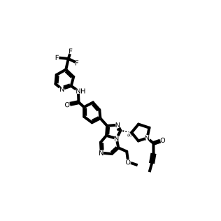 CC#CC(=O)N1CC[C@@H](c2nc(-c3ccc(C(=O)Nc4cc(C(F)(F)F)ccn4)cc3)c3cncc(COC)n23)C1